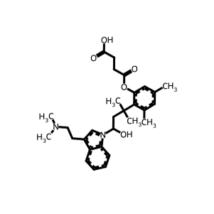 Cc1cc(C)c(C(C)(C)CC(O)n2cc(CCN(C)C)c3ccccc32)c(OC(=O)CCC(=O)O)c1